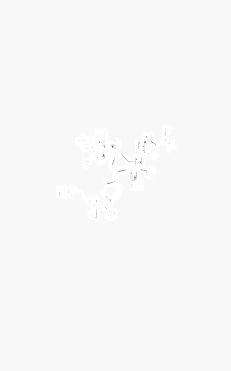 CCn1c(=O)n(-c2nnc(C(F)F)s2)c2cc(S(=O)(=O)NC3(CF)COC3)cc(C3=CCN(C(=O)C4(OCCO)CC4)CC3)c21